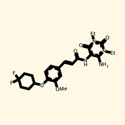 CCn1c(N)c(NC(=O)/C=C/c2ccc(OC3CCC(F)(F)CC3)c(OC)c2)c(=O)n(CC)c1=O